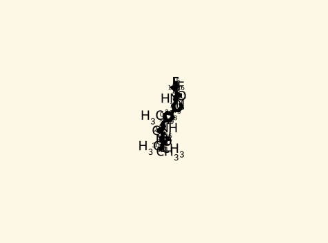 Cc1cc(-c2ccnc(NC(=O)C3CC3(F)F)c2)ccc1CNC(=O)c1noc(C(C)(C)C)n1